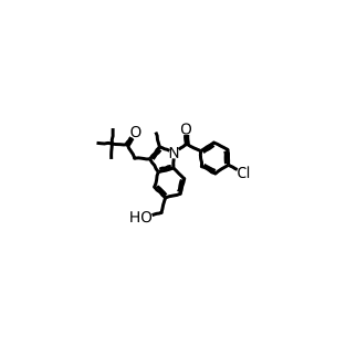 Cc1c(CC(=O)C(C)(C)C)c2cc(CO)ccc2n1C(=O)c1ccc(Cl)cc1